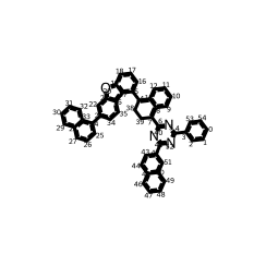 c1ccc(-c2nc(C3=c4ccccc4=C(c4cccc5oc6cc(-c7cccc8ccccc78)ccc6c45)CC3)nc(-c3ccc4ccccc4c3)n2)cc1